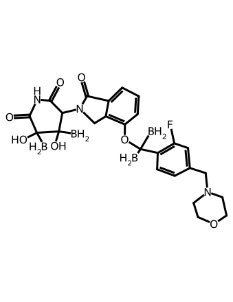 BC(B)(Oc1cccc2c1CN(C1C(=O)NC(=O)C(B)(O)C1(B)O)C2=O)c1ccc(CN2CCOCC2)cc1F